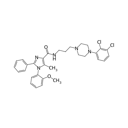 COc1ccccc1-n1c(-c2ccccc2)nc(C(=O)NCCCN2CCN(c3cccc(Cl)c3Cl)CC2)c1C